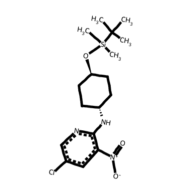 CC(C)(C)[Si](C)(C)O[C@H]1CC[C@H](Nc2ncc(Cl)cc2[N+](=O)[O-])CC1